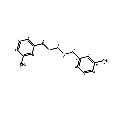 Cc1cccc(SSSSSc2cccc(C)c2)c1